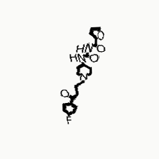 O=C(NC(=O)c1ccco1)NC1CCN(CCCC(=O)c2ccc(F)cc2)CC1